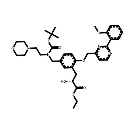 CCOC(=O)[C@H](O)Cc1cc(CN(CCN2CCOCC2)C(=O)OC(C)(C)C)ccc1OCc1ccnc(-c2ccccc2OC)n1